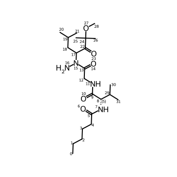 CCCCCC(=O)N[C@H](C(=O)NCC(=O)N(N)C(CC(C)C)C(=O)C(C)(C)OC)C(C)C